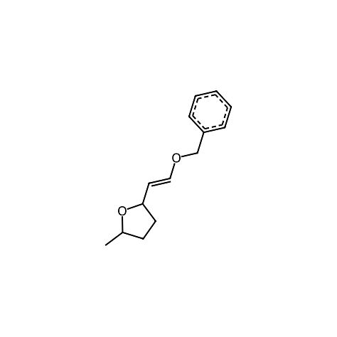 CC1CCC(/C=C/OCc2ccccc2)O1